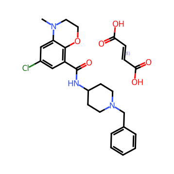 CN1CCOc2c(C(=O)NC3CCN(Cc4ccccc4)CC3)cc(Cl)cc21.O=C(O)/C=C/C(=O)O